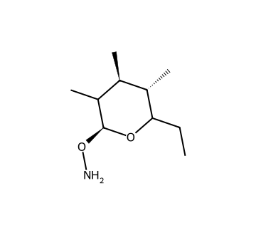 CCC1O[C@@H](ON)C(C)[C@@H](C)[C@@H]1C